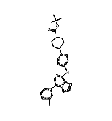 Cc1cccc(-c2cnc(Nc3ccc(C4CCN(C(=O)OC(C)(C)C)CC4)cc3)c3nccn23)c1